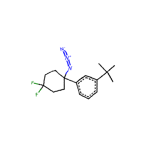 CC(C)(C)c1cccc(C2(N=[N+]=[N-])CCC(F)(F)CC2)c1